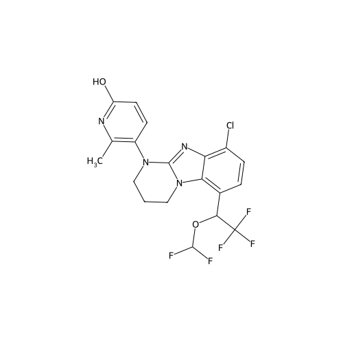 Cc1nc(O)ccc1N1CCCn2c1nc1c(Cl)ccc(C(OC(F)F)C(F)(F)F)c12